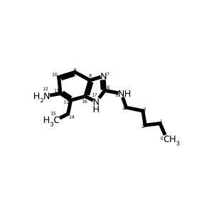 CCCCCNc1nc2ccc(N)c(CC)c2[nH]1